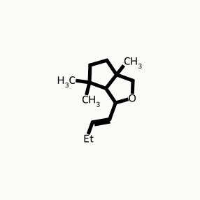 CCC=CC1OCC2(C)CCC(C)(C)C12